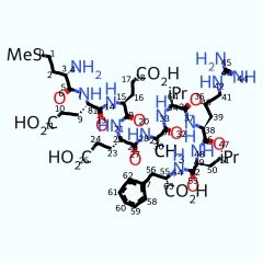 CSCC[C@H](N)C(=O)N[C@@H](CCC(=O)O)C(=O)N[C@@H](CCC(=O)O)C(=O)N[C@@H](CCC(=O)O)C(=O)N[C@@H](C)C(=O)N[C@H](C(=O)N[C@@H](CCCNC(=N)N)C(=O)N[C@@H](CC(C)C)C(=O)N[C@@H](Cc1ccccc1)C(=O)O)C(C)C